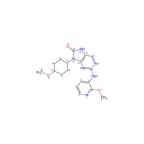 COc1ncccc1Nc1ncc2[nH]c(=O)n(C3CCC(OC)CC3)c2n1